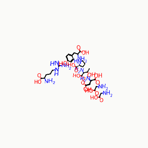 CC(O)C(N)C(=O)O.N=C(N)NCCCC(N)C(=O)O.NC(CC(=O)O)C(=O)O.NC(Cc1ccc(O)cc1)C(=O)O.NCC(=O)O.NCC(=O)O.O=C(O)[C@@H]1CCCN1